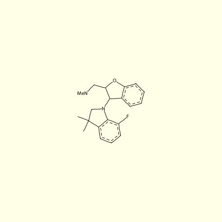 CNCC1Oc2ccccc2C1N1CC(C)(C)c2cccc(F)c21